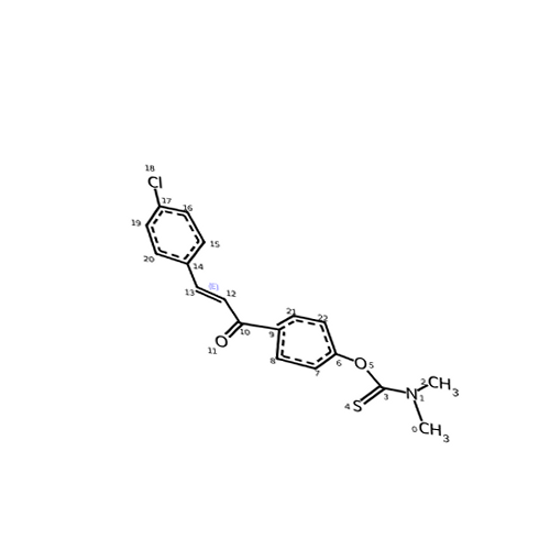 CN(C)C(=S)Oc1ccc(C(=O)/C=C/c2ccc(Cl)cc2)cc1